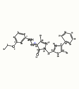 CCOc1cccc(N/N=C2/C(=O)N(Cc3nc(-c4ccccc4)c(C)s3)N=C2C)c1